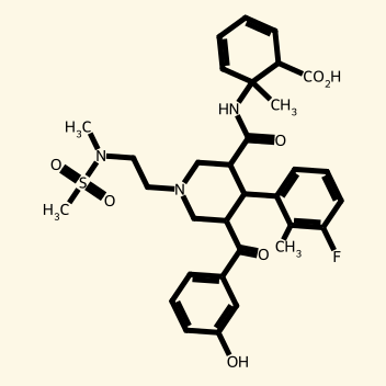 Cc1c(F)cccc1C1C(C(=O)NC2(C)C=CC=CC2C(=O)O)CN(CCN(C)S(C)(=O)=O)CC1C(=O)c1cccc(O)c1